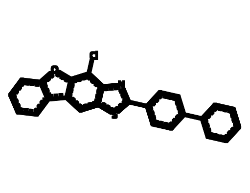 Clc1c2nc(-c3ccc(-c4ccccc4)cc3)sc2cc2c1oc1ccccc12